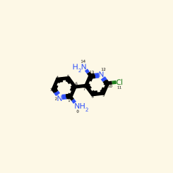 Nc1ncccc1-c1ccc(Cl)nc1N